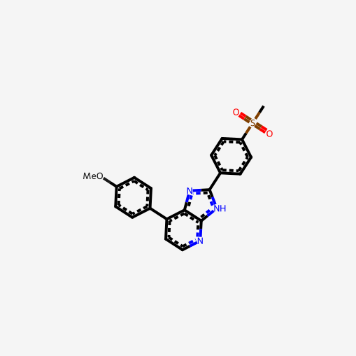 COc1ccc(-c2ccnc3[nH]c(-c4ccc(S(C)(=O)=O)cc4)nc23)cc1